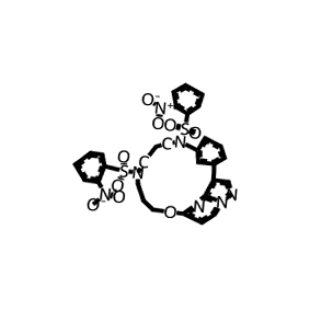 O=[N+]([O-])c1ccccc1S(=O)(=O)N1CCCOc2ccn3ncc(c3n2)-c2cccc(c2)N(S(=O)(=O)c2ccccc2[N+](=O)[O-])CCC1